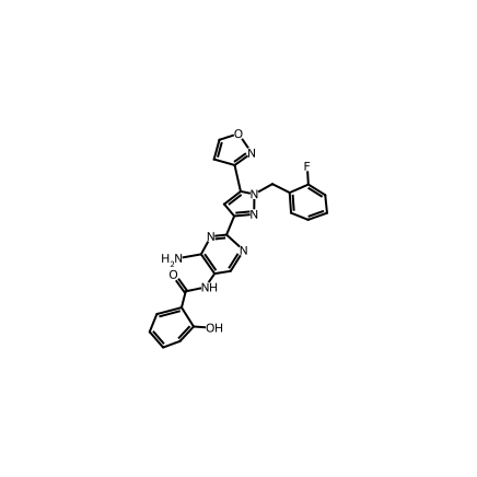 Nc1nc(-c2cc(-c3ccon3)n(Cc3ccccc3F)n2)ncc1NC(=O)c1ccccc1O